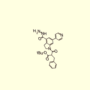 CC(C)(C)OC(=O)C(Cc1ccccc1)C(=O)N1CCc2c(C(=O)NN)cc(-c3ccncc3)cc21